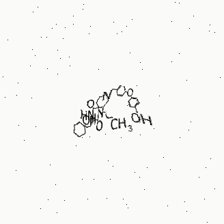 CCCCN1C(=O)[C@@H](CC2(O)CCCCC2)NC(=O)C12CCN(Cc1ccc(Oc3ccc(CO)cc3)cc1)CC2